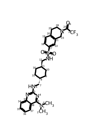 CN(C)c1nc(NC[C@H]2CC[C@H](CNS(=O)(=O)c3ccc4c(c3)CN(C(=O)C(F)(F)F)CC4)CC2)nc2ccccc12